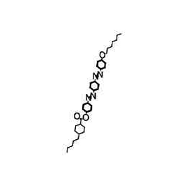 CCCCCCCOc1ccc(/N=N/c2ccc(/N=N/c3ccc(OC(=O)C4CCC(CCCCC)CC4)cc3)cc2)cc1